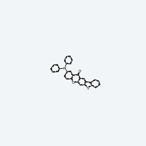 O=c1c2cc(N(c3ccccc3)c3ccccc3)ccc2oc2cc3sc4ccccc4c3cc12